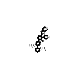 Cc1ccccc1-c1cc2[nH]c3c(ccc4c3c3ccncc3n3c5cnccc5nc43)c2cc1C